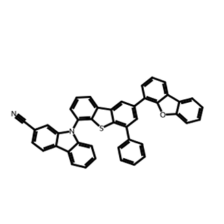 N#Cc1ccc2c3ccccc3n(-c3cccc4c3sc3c(-c5ccccc5)cc(-c5cccc6c5oc5ccccc56)cc34)c2c1